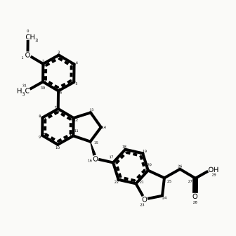 COc1cccc(-c2cccc3c2CC[C@H]3Oc2ccc3c(c2)OCC3CC(=O)O)c1C